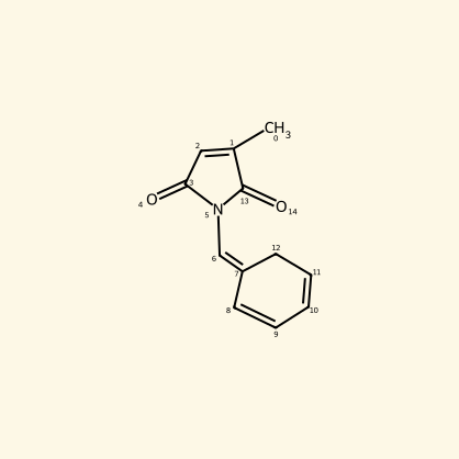 CC1=CC(=O)N(C=C2C=CC=CC2)C1=O